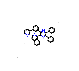 c1ccc(-c2nc(-c3cccc(-c4cccnc4)c3)c(-c3nccc4ccccc34)nc2-c2ccccc2)cc1